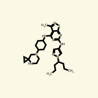 CCCC(CCC)n1cc(Nc2nc(NC3CCC(N4CCNC5(CC5)C4)CC3)c3c(C)nsc3n2)cn1